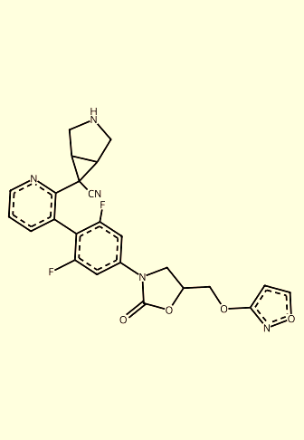 N#CC1(c2ncccc2-c2c(F)cc(N3CC(COc4ccon4)OC3=O)cc2F)C2CNCC21